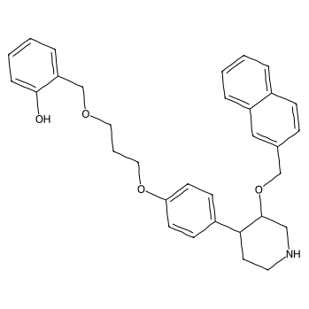 Oc1ccccc1COCCCOc1ccc(C2CCNCC2OCc2ccc3ccccc3c2)cc1